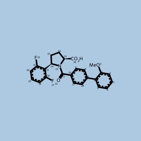 COc1ccccc1-c1ccc(C(=O)N2[C@@H](c3c(F)cccc3F)CC[C@H]2C(=O)O)cc1